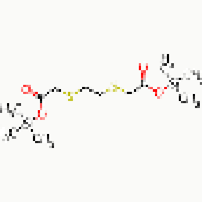 C[Si](C)(C)OC(=O)CSCCSCC(=O)O[Si](C)(C)C